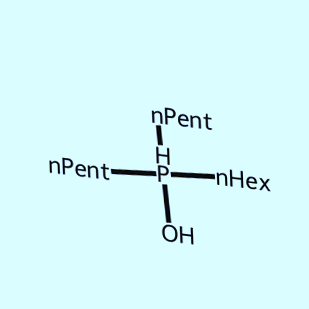 CCCCCC[PH](O)(CCCCC)CCCCC